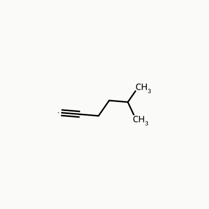 [C]#CCCC(C)C